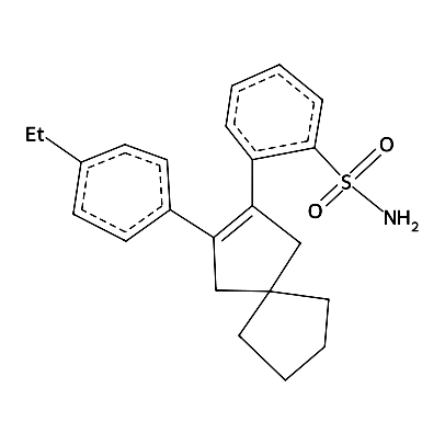 CCc1ccc(C2=C(c3ccccc3S(N)(=O)=O)CC3(CCCC3)C2)cc1